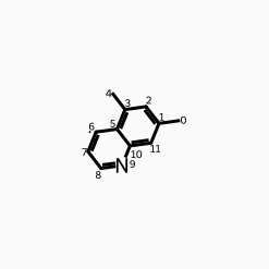 Cc1cc(C)c2[c]ccnc2c1